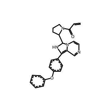 C=CC(=O)N1CCCC1C1NC(c2ccc(Oc3ccccc3)cc2)=C2C=NC=CN21